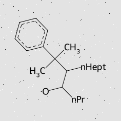 CCCCCCCC(C([O])CCC)C(C)(C)c1ccccc1